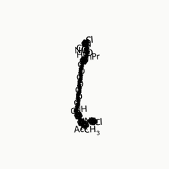 CCCC(NC(=O)/C(C#N)=C/c1nc(Cl)ccc1Cl)c1ccc(OCCOCCOCCOCCOCCOCCOCCNC(=O)c2ccc(-c3ccc4c(c3)[C@H](Nc3ccc(Cl)cc3)C[C@H](C)N4C(C)=O)cc2)cc1